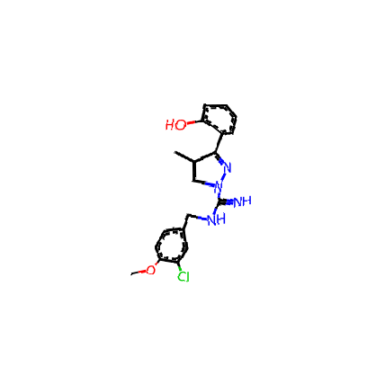 COc1ccc(CNC(=N)N2CC(C)C(c3ccccc3O)=N2)cc1Cl